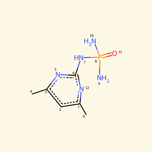 Cc1cc(C)nc(NP(N)(N)=O)n1